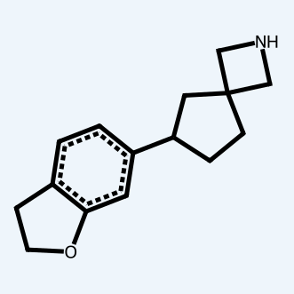 c1cc2c(cc1C1CCC3(CNC3)C1)OCC2